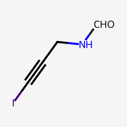 O=CNCC#CI